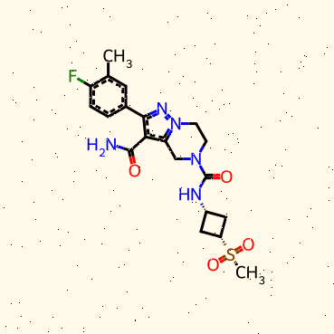 Cc1cc(-c2nn3c(c2C(N)=O)CN(C(=O)N[C@H]2C[C@@H](S(C)(=O)=O)C2)CC3)ccc1F